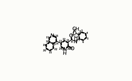 COc1ccccc1NC(=O)c1cc(-c2cncc3ccccc23)c[nH]c1=O